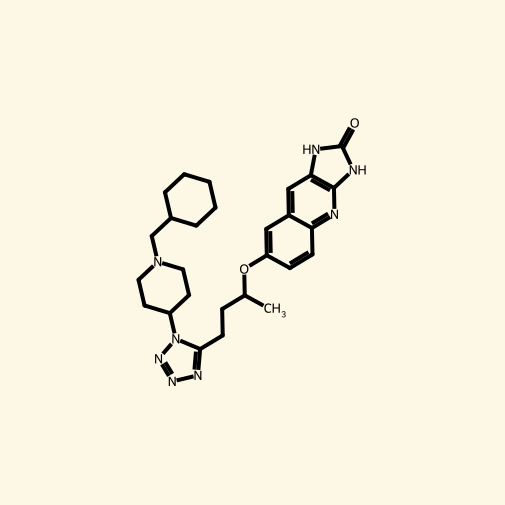 CC(CCc1nnnn1C1CCN(CC2CCCCC2)CC1)Oc1ccc2nc3[nH]c(=O)[nH]c3cc2c1